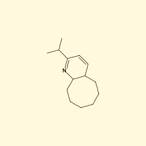 CC(C)C1=NC2CCCCCCC2C=C1